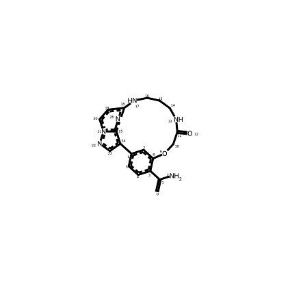 C=C(N)c1ccc2cc1OCC(=O)NCCCNc1ccn3ncc-2c3n1